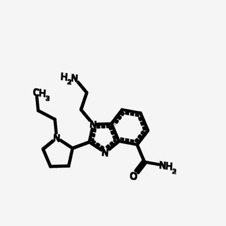 CCCN1CCCC1c1nc2c(C(N)=O)cccc2n1CCN